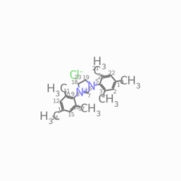 Cc1cc(C)c(N2C=[N+](c3c(C)cc(C)cc3C)CC2)c(C)c1.[Cl-]